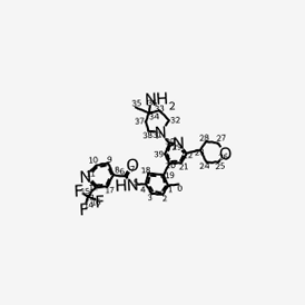 Cc1ccc(NC(=O)c2ccnc(C(F)(F)F)c2)cc1-c1cc(C2CCOCC2)nc(N2CCC(C)(N)CC2)c1